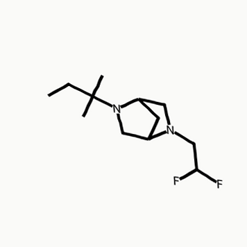 CCC(C)(C)N1CC2CC1CN2CC(F)F